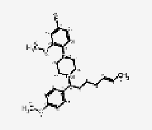 CC=CCCCC(c1ccc(OC)cc1)N1CCN(c2ccc(F)cc2OC)CC1